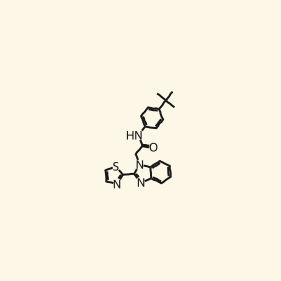 CC(C)(C)c1ccc(NC(=O)Cn2c(-c3nccs3)nc3ccccc32)cc1